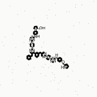 OC[C@@H]1CCCN1c1ccc(Nc2ncnc(N3CCN(c4ncc(Cc5ccccc5)c(-c5cccc(Cc6cnc(N7CCN(c8ncnc(Nc9ccc(OC[C@H]%10CCCN%10)cc9)n8)CC7)nc6)c5)n4)CC3)n2)cc1